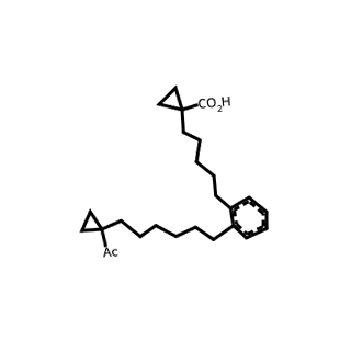 CC(=O)C1(CCCCCCc2ccccc2CCCCCC2(C(=O)O)CC2)CC1